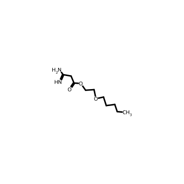 CCCCCOCCOC(=O)CC(=N)N